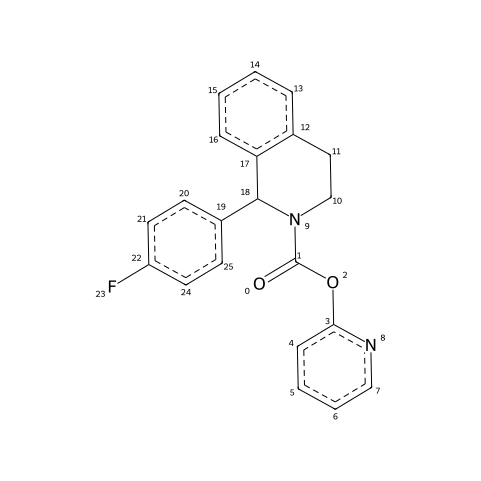 O=C(Oc1ccccn1)N1CCc2ccccc2C1c1ccc(F)cc1